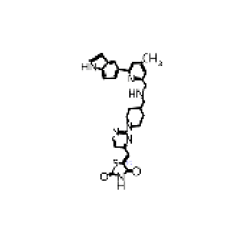 Cc1cc(CNCC2CCN(c3nccc(/C=C4\SC(=O)NC4=O)n3)CC2)nc(-c2ccc3[nH]ccc3c2)c1